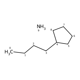 CCCCC1CCCC1.N